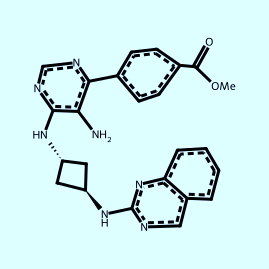 COC(=O)c1ccc(-c2ncnc(N[C@H]3C[C@H](Nc4ncc5ccccc5n4)C3)c2N)cc1